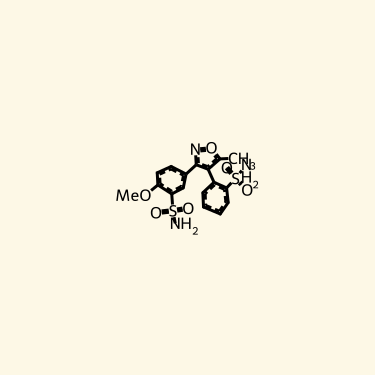 COc1ccc(-c2noc(C)c2-c2ccccc2S(N)(=O)=O)cc1S(N)(=O)=O